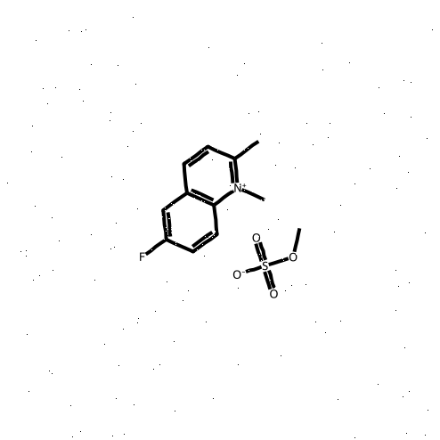 COS(=O)(=O)[O-].Cc1ccc2cc(F)ccc2[n+]1C